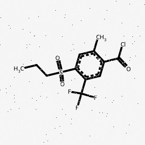 CCCS(=O)(=O)c1cc(C)c(C(=O)Cl)cc1C(F)(F)F